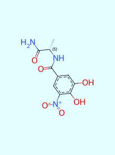 C[C@H](NC(=O)c1cc(O)c(O)c([N+](=O)[O-])c1)C(N)=O